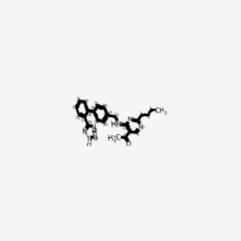 CCCCc1ncc(C(C)=O)c(NCc2ccc(-c3ccccc3-c3nn[nH]n3)cc2)n1